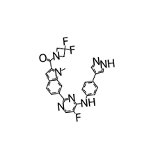 Cn1c(C(=O)N2CC(F)(F)C2)cc2ccc(-c3ncc(F)c(Nc4ccc(-c5cn[nH]c5)cc4)n3)cc21